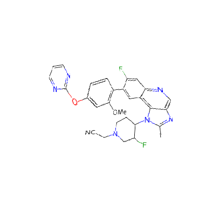 COc1cc(Oc2ncccn2)ccc1-c1cc2c(cc1F)ncc1nc(C)n(C3CCN(CC#N)CC3F)c12